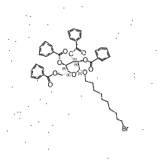 O=C(OC[C@H]1O[C@@H](OCCCCCCCCCCBr)[C@H](OC(=O)c2ccccc2)[C@@H](OC(=O)c2ccccc2)[C@@H]1OC(=O)c1ccccc1)c1ccccc1